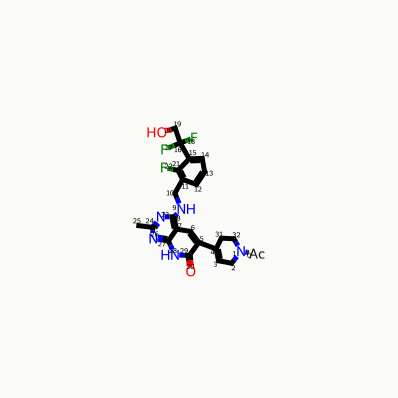 CC(=O)N1CC=C(c2cc3c(NCc4cccc(C(F)(F)CO)c4F)nc(C)nc3[nH]c2=O)CC1